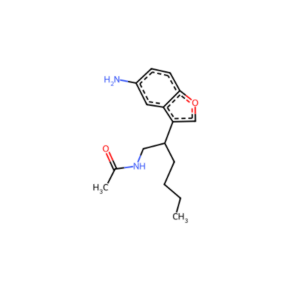 CCCCC(CNC(C)=O)c1coc2ccc(N)cc12